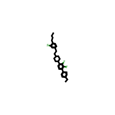 CCCCc1ccc(CCC2CCC(c3ccc(-c4ccc(CC)cc4)c(F)c3F)CC2)cc1F